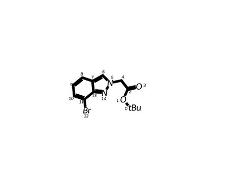 CC(C)(C)OC(=O)Cn1cc2cccc(Br)c2n1